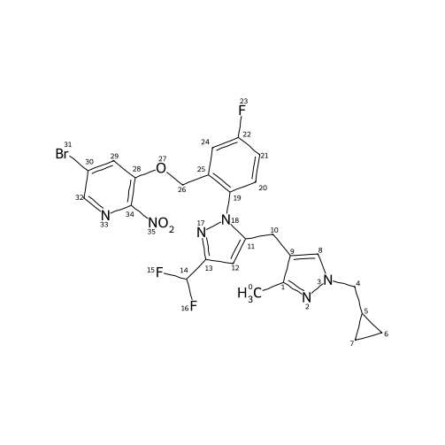 Cc1nn(CC2CC2)cc1Cc1cc(C(F)F)nn1-c1ccc(F)cc1COc1cc(Br)cnc1[N+](=O)[O-]